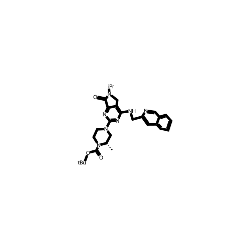 CC(C)N1Cc2c(NCc3cc4ccccc4cn3)nc(N3CCN(C(=O)OC(C)(C)C)[C@@H](C)C3)nc2C1=O